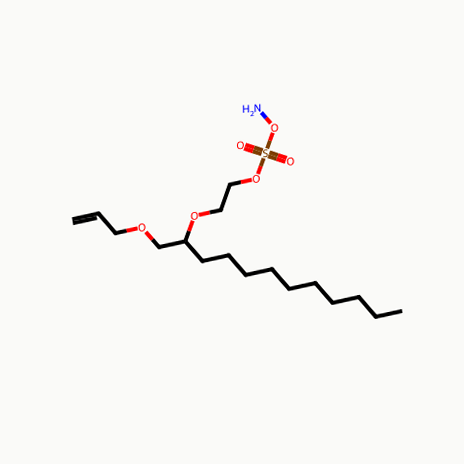 C=CCOCC(CCCCCCCCCC)OCCOS(=O)(=O)ON